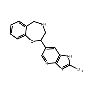 Cc1nc2ncc(C3CNCc4ccccc4O3)cc2[nH]1